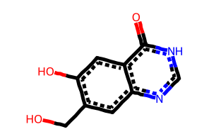 O=c1[nH]cnc2cc(CO)c(O)cc12